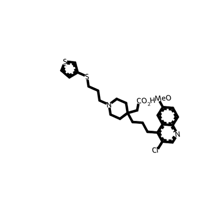 COc1ccc2ncc(Cl)c(CCCC3(CC(=O)O)CCN(CCCSc4ccsc4)CC3)c2c1